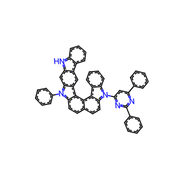 c1ccc(-c2cc(-n3c4ccccc4c4c5c(ccc6c5c5cc7c(cc5n6-c5ccccc5)[nH]c5ccccc57)ccc43)nc(-c3ccccc3)n2)cc1